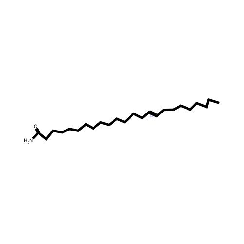 CCCCCCCC/C=C/CCCCCCCCCCCCCC(N)=O